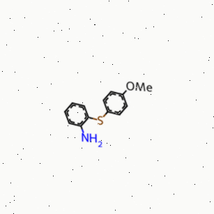 COc1ccc(Sc2ccccc2N)cc1